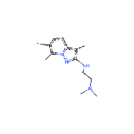 Cc1ccc2c(C)c(NCCN(C)C)nn2c1C